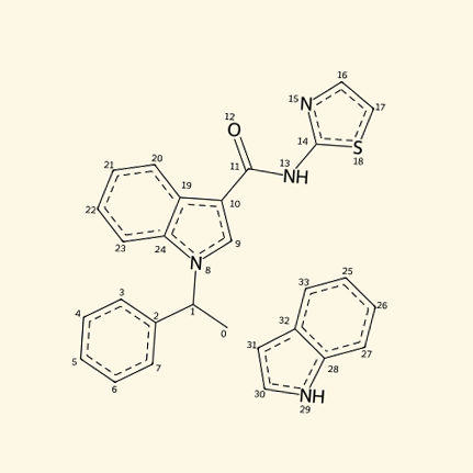 CC(c1ccccc1)n1cc(C(=O)Nc2nccs2)c2ccccc21.c1ccc2[nH]ccc2c1